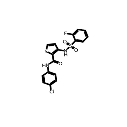 O=C(Nc1ccc(Cl)cc1)c1sccc1NS(=O)(=O)c1ccccc1F